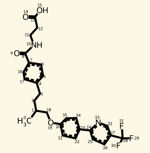 CC(CCc1ccc(C(=O)NCCC(=O)O)cc1)COc1ccc(-c2ccc(C(F)(F)F)cn2)cc1